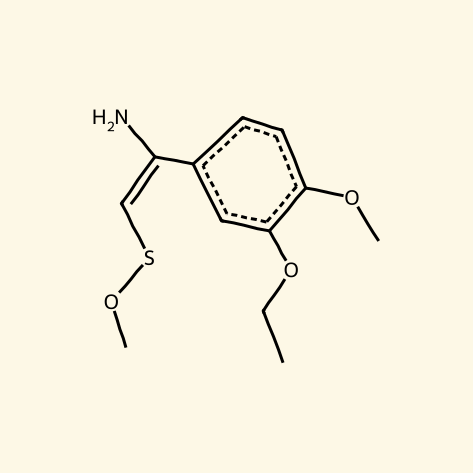 CCOc1cc(/C(N)=C\SOC)ccc1OC